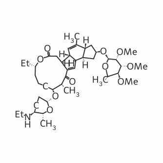 CCN[C@H]1CC[C@H](O[C@H]2CCC[C@H](CC)OC(=O)C[C@@H]3C(=C[C@@H]4[C@H]3C=C(C)[C@@H]3C[C@@H](O[C@@H]5O[C@@H](C)[C@H](OC)[C@@H](OC)[C@H]5OC)C[C@@H]43)C(=O)[C@@H]2C)O[C@@H]1C